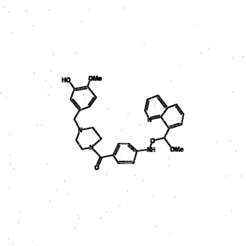 COc1ccc(CN2CCN(C(=O)c3ccc(NOC(OC)c4cccc5cccnc45)cc3)CC2)cc1O